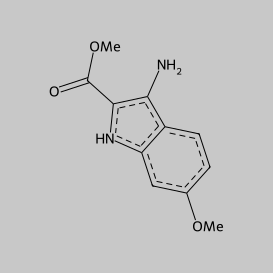 COC(=O)c1[nH]c2cc(OC)ccc2c1N